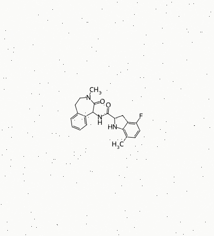 Cc1ccc(F)c2c1NC(C(=O)NC1C(=O)N(C)CCc3ccccc31)C2